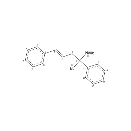 CCC(CC=Cc1ccccc1)(NC)c1ccccc1